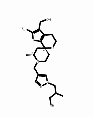 CC(CO)Cn1cc(CN2CC[C@]3(C[C@@H]2C)OCCc2c3sc(C(F)(F)F)c2CO)cn1